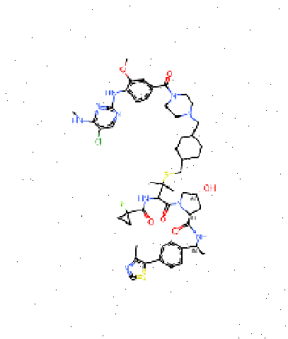 CNc1nc(Nc2ccc(C(=O)N3CCN(CC4CCC(CSC(C)(C)C(NC(=O)C5(F)CC5)C(=O)N5C[C@H](O)C[C@H]5C(=O)N[C@@H](C)c5ccc(-c6scnc6C)cc5)CC4)CC3)cc2OC)ncc1Cl